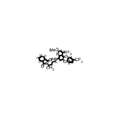 COc1cc(N)c2c(Oc3cccc(C(F)(F)F)c3)c(OC)cc(NCCCC(C)N3C(=O)c4ccccc4C3=O)c2n1